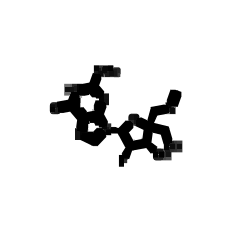 C=NC[C@]1(CO)O[C@@H](n2cnc3c(=O)[nH]c(NC)nc32)[C@H](F)[C@@H]1O